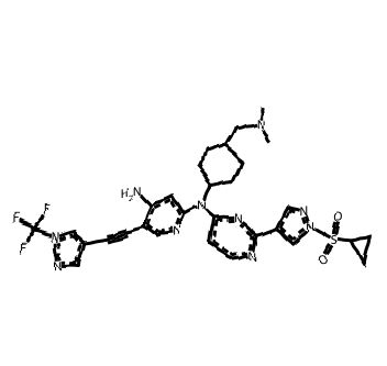 CN(C)CC1CCC(N(c2cc(N)c(C#Cc3cnn(C(F)(F)F)c3)cn2)c2ccnc(-c3cnn(S(=O)(=O)C4CC4)c3)n2)CC1